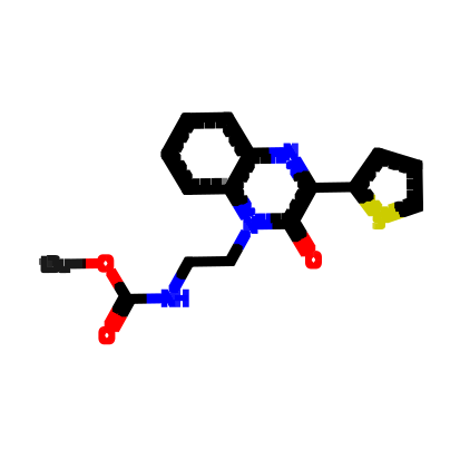 CC(C)(C)OC(=O)NCCn1c(=O)c(-c2cccs2)nc2ccccc21